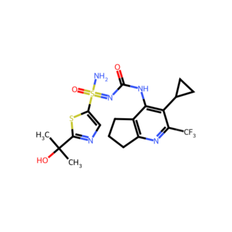 CC(C)(O)c1ncc(S(N)(=O)=NC(=O)Nc2c3c(nc(C(F)(F)F)c2C2CC2)CCC3)s1